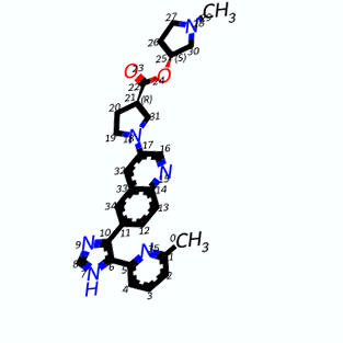 Cc1cccc(-c2[nH]cnc2-c2ccc3ncc(N4CC[C@@H](C(=O)O[C@H]5CCN(C)C5)C4)cc3c2)n1